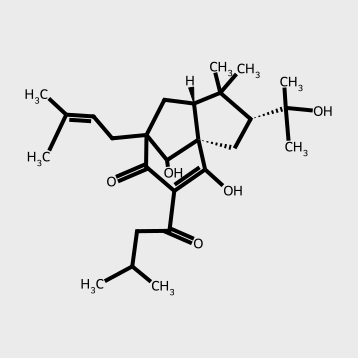 CC(C)=CCC12C[C@@H]3C(C)(C)[C@H](C(C)(C)O)C[C@]3(C(O)=C(C(=O)CC(C)C)C1=O)C2O